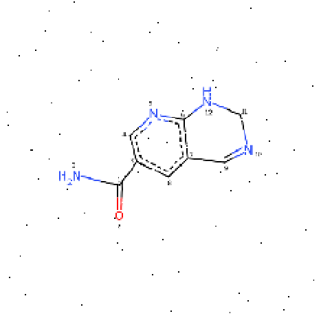 NC(=O)c1cnc2c(c1)C=NCN2